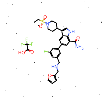 CCS(=O)(=O)N1CCC(c2c[nH]c3c(C(N)=O)cc(-c4cc(F)cc(CNCc5ccco5)c4)cc23)CC1.O=C(O)C(F)(F)F